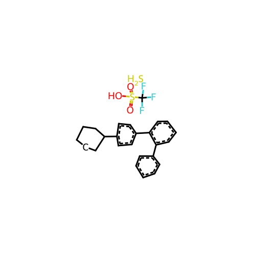 O=S(=O)(O)C(F)(F)F.S.c1ccc(-c2ccccc2-c2ccc(C3CCCCC3)cc2)cc1